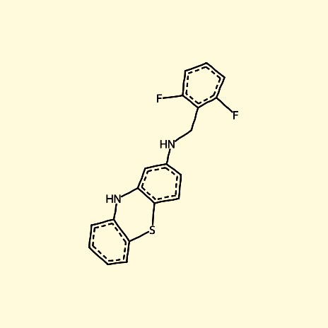 Fc1cccc(F)c1CNc1ccc2c(c1)Nc1ccccc1S2